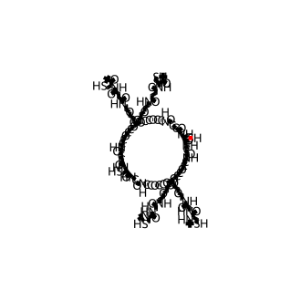 CC(C)(C)NC(CS)C(=O)NCC(=O)NCCOCCOC1(OCCOCCNC(=O)CNC(=O)C(CS)NC(C)(C)C)OCCOCCNC(=O)CNC(=O)C(CS)NC(=O)CCC(=O)NCCOCCOC(OCCOCCNC(=O)CCC(=O)NC(CS)C(=O)C(C)(C)C)(OCCOCCNC(=O)CCC(=O)NC(CS)C(=O)C(C)(C)C)OCCOCCNC(=O)CCC(=O)NC(CS)C(=O)NCC(=O)NCCOCCO1